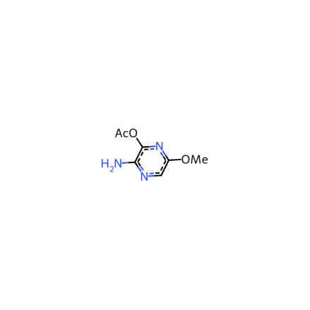 COc1cnc(N)c(OC(C)=O)n1